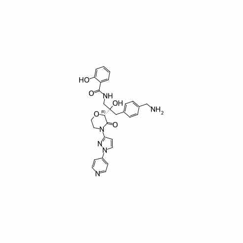 NCc1ccc(CC(O)(CNC(=O)c2ccccc2O)[C@H]2OCCN(c3ccn(-c4ccncc4)n3)C2=O)cc1